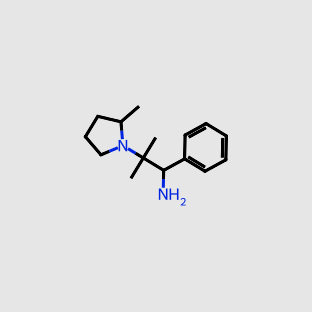 CC1CCCN1C(C)(C)C(N)c1ccccc1